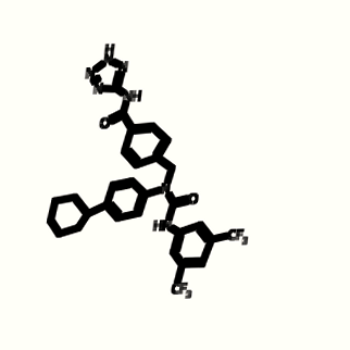 O=C(Nc1nn[nH]n1)c1ccc(CN(C(=O)Nc2cc(C(F)(F)F)cc(C(F)(F)F)c2)c2ccc(C3CCCCC3)cc2)cc1